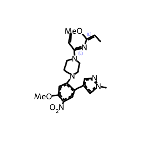 C=C/C(=N\C(=C/C)OC)N1CCN(c2cc(OC)c([N+](=O)[O-])cc2-c2cnn(C)c2)CC1